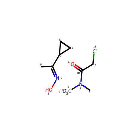 CC(=NO)C1CC1.CN(C(=O)O)C(=O)CCl